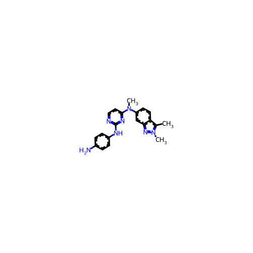 Cc1c2ccc(N(C)c3ccnc(Nc4ccc(N)cc4)n3)cc2nn1C